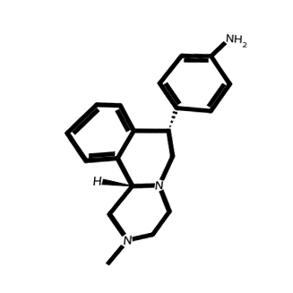 CN1CCN2C[C@@H](c3ccc(N)cc3)c3ccccc3[C@H]2C1